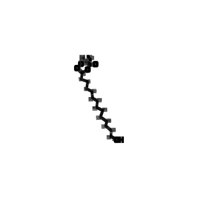 NS(=O)(=O)OC(=O)CCCCCCCCCCCCCO